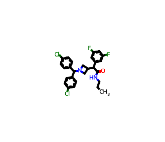 CCCNC(=O)C(c1cc(F)cc(F)c1)C1CN(C(c2ccc(Cl)cc2)c2ccc(Cl)cc2)C1